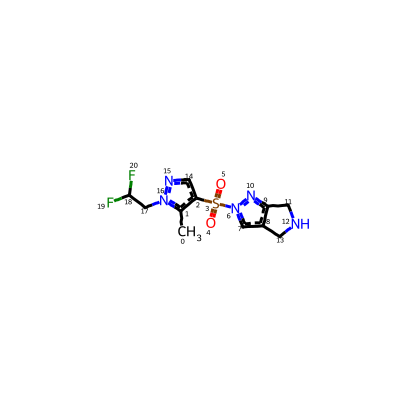 Cc1c(S(=O)(=O)n2cc3c(n2)CNC3)cnn1CC(F)F